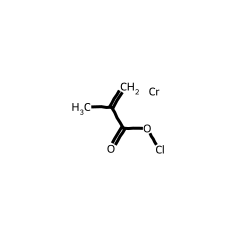 C=C(C)C(=O)OCl.[Cr]